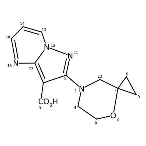 O=C(O)c1c(N2CCOC3(CC3)C2)nn2cccnc12